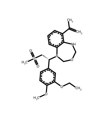 C=C(C)c1cccc2c1NCOCN2[C@@H](CS(C)(=O)=O)c1ccc(OC)c(OCC)c1